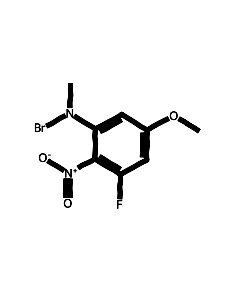 COc1cc(F)c([N+](=O)[O-])c(N(C)Br)c1